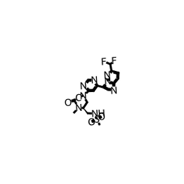 CN1C(=O)CN(c2cc(-c3cnc4ccc(C(F)F)nn34)ncn2)C[C@H]1CNS(C)(=O)=O